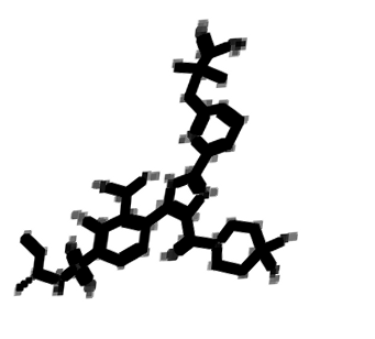 CC[C@@H](C)NS(=O)(=O)c1ccc(-c2sc(-c3cccc(CC(C)(C)C(=O)O)n3)nc2C(=O)N2CCC(F)(F)CC2)c(C(F)F)c1F